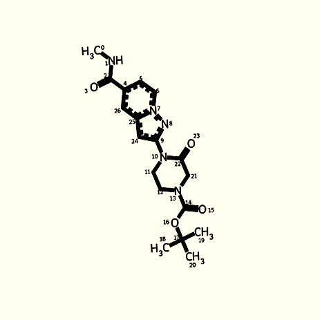 CNC(=O)c1ccn2nc(N3CCN(C(=O)OC(C)(C)C)CC3=O)cc2c1